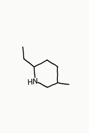 CCC1CCC(C)CN1